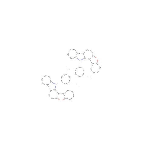 N#Cc1cc(-c2c(C#N)cc(-n3c4ccccc4c4ccc5oc6ccccc6c5c43)cc2C#N)cc(-n2c3ccccc3c3ccc4oc5ccccc5c4c32)c1